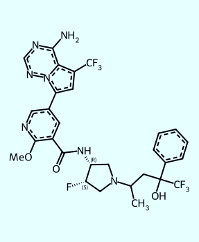 COc1ncc(-c2cc(C(F)(F)F)c3c(N)ncnn23)cc1C(=O)N[C@@H]1CN(C(C)CC(O)(c2ccccc2)C(F)(F)F)C[C@@H]1F